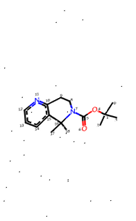 CC(C)(C)OC(=O)N1CCc2ncccc2C1(C)C